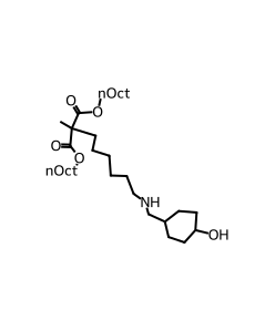 CCCCCCCCOC(=O)C(C)(CCCCCCNCC1CCC(O)CC1)C(=O)OCCCCCCCC